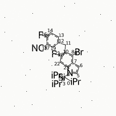 CC(C)[Si](C(C)C)(C(C)C)n1ccc2c(Br)c(Cc3ccc(F)c(C#N)c3)c(F)cc21